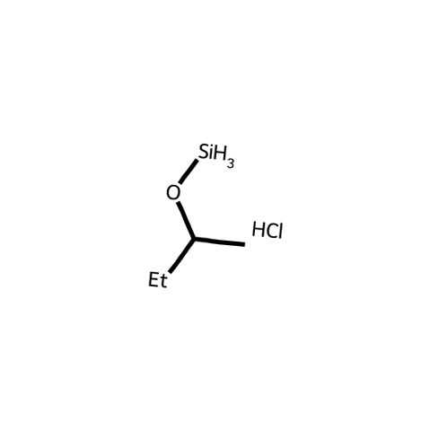 CCC(C)O[SiH3].Cl